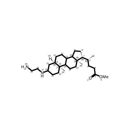 COC(=O)CC[C@@H](C)[C@H]1CCC2C3CC[C@@H]4CC(NCCN)CC[C@]4(C)C3CC[C@@]21C